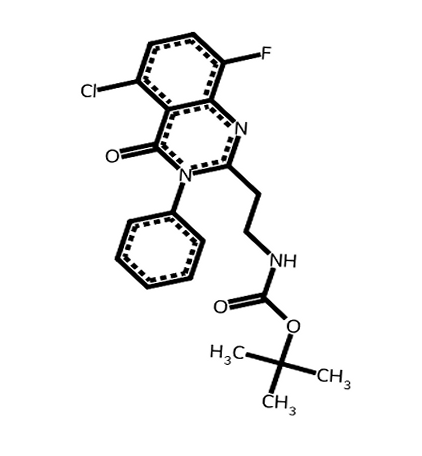 CC(C)(C)OC(=O)NCCc1nc2c(F)ccc(Cl)c2c(=O)n1-c1ccccc1